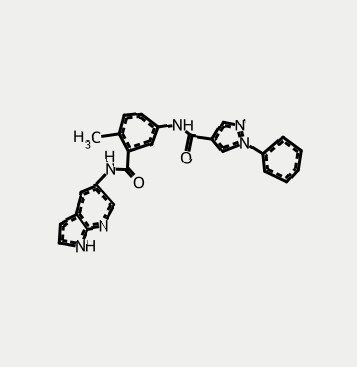 Cc1ccc(NC(=O)c2cnn(-c3ccccc3)c2)cc1C(=O)Nc1cnc2[nH]ccc2c1